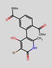 CNC(=O)c1ccc(C(=O)OC)c(-c2c(C)[nH]c(=O)c(Br)c2O)c1